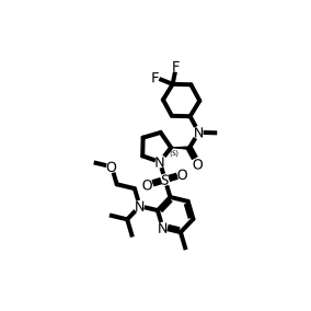 COCCN(c1nc(C)ccc1S(=O)(=O)N1CCC[C@H]1C(=O)N(C)C1CCC(F)(F)CC1)C(C)C